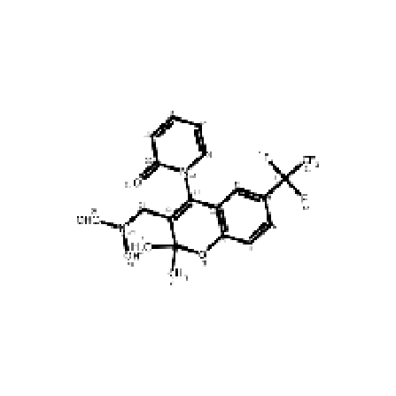 CC1(C)Oc2ccc(C(F)(F)C(F)(F)F)cc2C(n2ccccc2=O)=C1CN(O)C=O